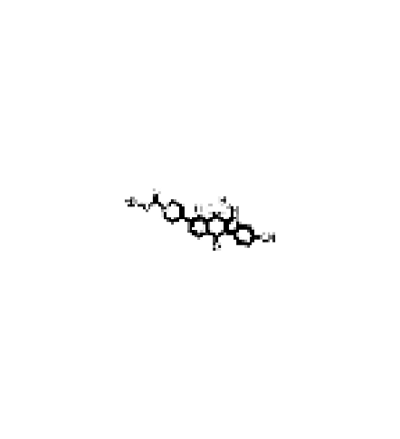 CC(C)(C)OC(=O)N1CC=C(c2ccc3c(c2)C(C)(C)c2[nH]c4cc(C#N)ccc4c2C3=O)CC1